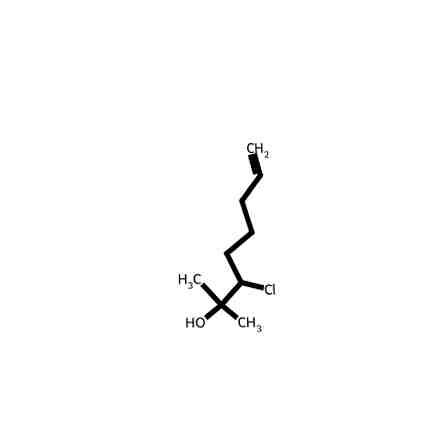 C=CCCCC(Cl)C(C)(C)O